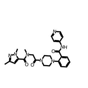 Cc1cc(C(=O)N(C)CC(=O)N2CCN(c3ccccc3C(=O)Nc3ccncc3)CC2)n(C)n1